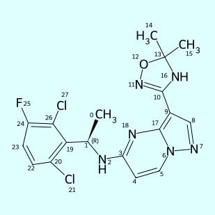 C[C@@H](Nc1ccn2ncc(C3=NOC(C)(C)N3)c2n1)c1c(Cl)ccc(F)c1Cl